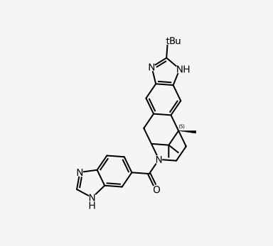 CC(C)(C)c1nc2cc3c(cc2[nH]1)[C@]1(C)CCN(C(=O)c2ccc4nc[nH]c4c2)C(C3)C1(C)C